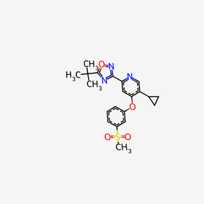 CC(C)(C)c1nc(-c2cc(Oc3cccc(S(C)(=O)=O)c3)c(C3CC3)cn2)no1